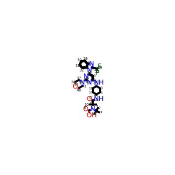 CC(C)(C)N(C(=O)O)C(C)(C)C(=O)NC1CCC(Nc2cc(-n3c(C(F)F)nc4ccccc43)nc(N3CCOCC3)n2)CC1